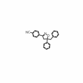 N#Cc1ccc(C2=NOC(Cc3ccccc3)(c3ccccc3)C2)cc1